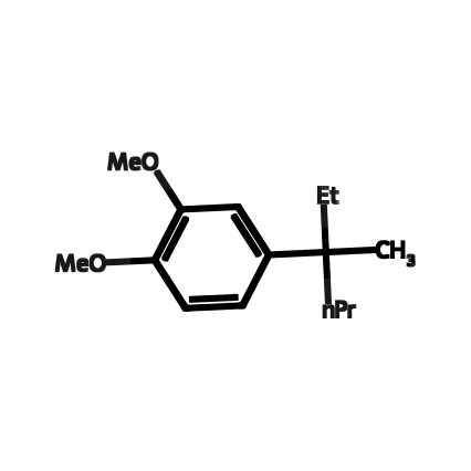 CCCC(C)(CC)c1ccc(OC)c(OC)c1